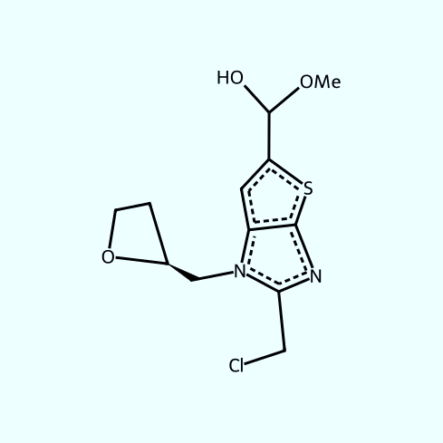 COC(O)c1cc2c(nc(CCl)n2C[C@@H]2CCO2)s1